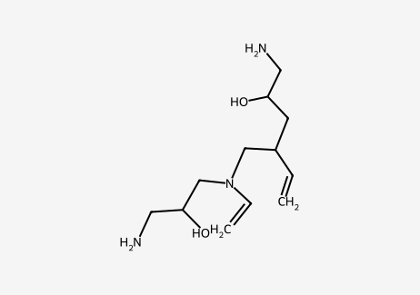 C=CC(CC(O)CN)CN(C=C)CC(O)CN